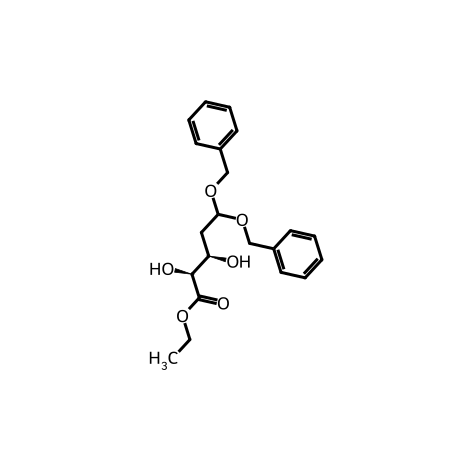 CCOC(=O)[C@@H](O)[C@H](O)CC(OCc1ccccc1)OCc1ccccc1